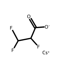 O=C([O-])C(F)C(F)F.[Cs+]